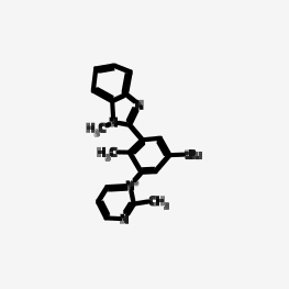 Cc1c(-c2nc3ccccc3n2C)cc(C(C)(C)C)cc1-[n+]1cccnc1C